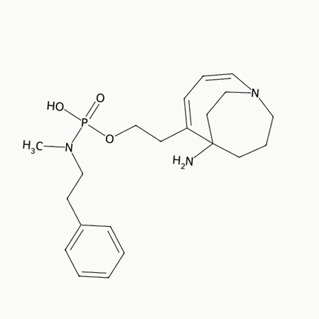 CN(CCc1ccccc1)P(=O)(O)OCC/C1=C/C=C\N2CCCC1(N)CC2